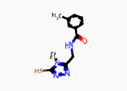 CCn1c(S)nnc1CNC(=O)c1cccc(C)c1